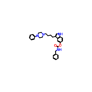 O=C(NCc1ccccc1)Oc1ccc2[nH]cc(CCCCN3CCN(c4ccccc4)CC3)c2c1